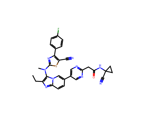 CCc1nc2ccc(-c3cnc(CC(=O)NC4(C#N)CC4)nc3)cn2c1N(C)c1nc(-c2ccc(F)cc2)c(C#N)s1